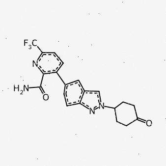 NC(=O)c1nc(C(F)(F)F)ccc1-c1ccc2nn(C3CCC(=O)CC3)cc2c1